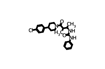 CC(NC(=O)Nc1ccccc1)C(C)C(=O)N1CCC(c2ccc(Cl)cc2)CC1